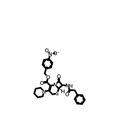 O=C(Cc1ccccc1)NC1C(=O)N2C(C(=O)OCc3ccc([N+](=O)[O-])cc3)=C(N3CCCCC3)CS[C@H]12